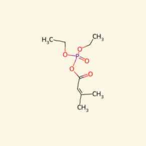 CCOP(=O)(OCC)OC(=O)C=C(C)C